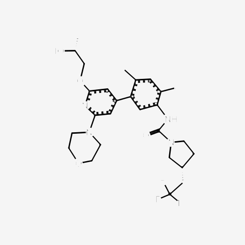 Cc1cc(F)c(NC(=O)N2CC[C@H](CC(F)(F)F)C2)cc1-c1cc(OC[C@@H](C)O)nc(N2CCOCC2)c1